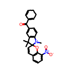 CN1c2ccc(C(=O)C3=CCCC=C3)cc2C(C)(C)C12C=Cc1cccc([N+](=O)[O-])c1O2